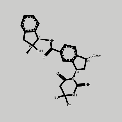 CCC1(CC)CC(=O)N([C@@H]2C[C@@H](OC)c3ccc(C(=O)N[C@@H]4c5ccccc5C[C@@]4(C)O)cc32)C(=N)N1